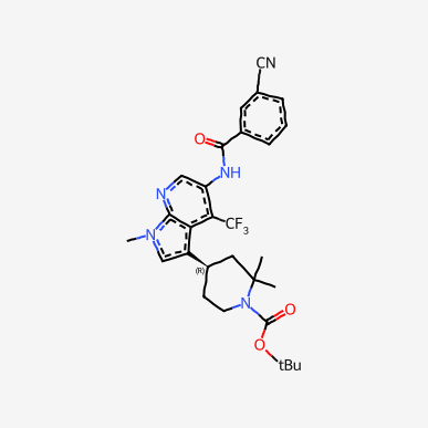 Cn1cc([C@@H]2CCN(C(=O)OC(C)(C)C)C(C)(C)C2)c2c(C(F)(F)F)c(NC(=O)c3cccc(C#N)c3)cnc21